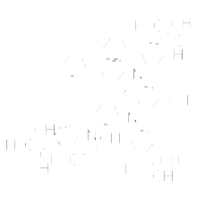 Cc1cc2c3c(c1)N(c1ccc(C(C)(C)C)cc1-c1ccccc1)c1ccc(-c4ccccc4)cc1B3c1ccc(N3c4ccc(C(C)(C)C)cc4C4(C)CCCCCC34C)cc1N2c1ccc(C(C)(C)C)cc1